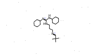 [CH2]C(C)(C)/C=N/CCCN/C(=N\C1CCCCC1)NC1CCCCC1